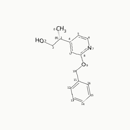 C[C@@H](CO)c1ccnc(OCc2ccccc2)c1